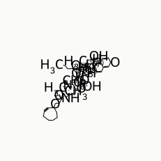 CCCC1O[C@@H]2C[C@H]3[C@@H]4CCC5=CC(=O)C=C[C@]5(C)[C@H]4[C@@H](O)C[C@]3(C)[C@]2(C(=O)COP(=O)(O)OC(CCNC(=O)COC2C#CCCCCC2)C[N+](C)(C)C)O1